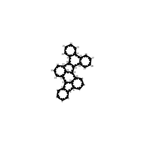 c1ccc2c(c1)c1cccc3c1c2c1cccc2c4c5ccccc5c5ccccc5c4c3c12